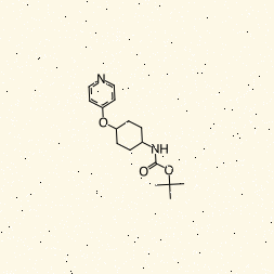 CC(C)(C)OC(=O)NC1CCC(Oc2ccncc2)CC1